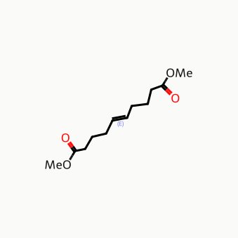 COC(=O)CCC/C=C/CCCC(=O)OC